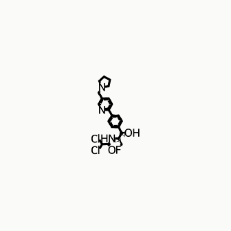 O=C(N[C@H](CF)[C@H](O)c1ccc(-c2ccc(CN3CCCC3)cn2)cc1)C(Cl)Cl